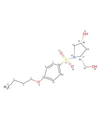 CCCCOc1ccc(S(=O)(=O)N2C[C@H](O)C[C@@H]2CO)cc1